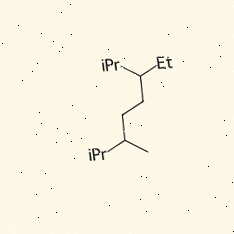 CCC(CCC(C)C(C)C)C(C)C